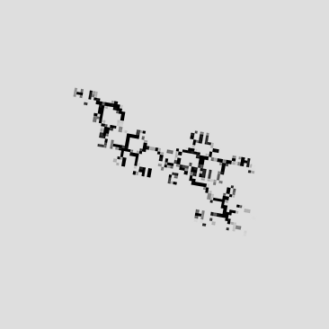 CC(C)OC(=O)[C@H](C)N[P@](=O)(OCCSC(=O)C(C)(C)C)OC[C@H]1O[C@@H](n2ccc(N)nc2=O)C(Cl)(Cl)[C@@H]1O